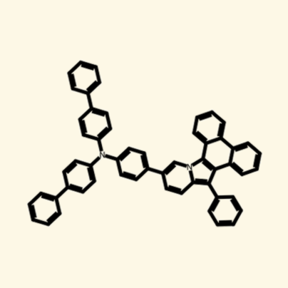 c1ccc(-c2ccc(N(c3ccc(-c4ccccc4)cc3)c3ccc(-c4ccc5c(-c6ccccc6)c6c7ccccc7c7ccccc7c6n5c4)cc3)cc2)cc1